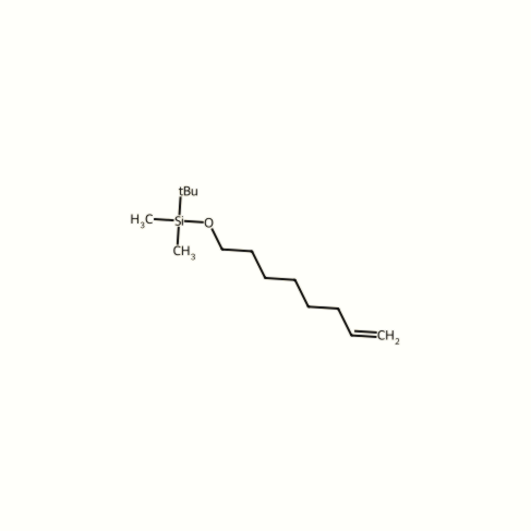 C=CCCCCCCO[Si](C)(C)C(C)(C)C